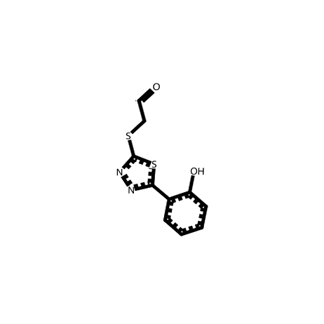 O=[C]CSc1nnc(-c2ccccc2O)s1